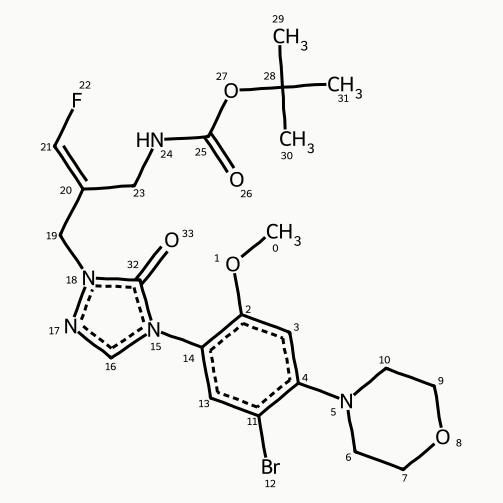 COc1cc(N2CCOCC2)c(Br)cc1-n1cnn(C/C(=C/F)CNC(=O)OC(C)(C)C)c1=O